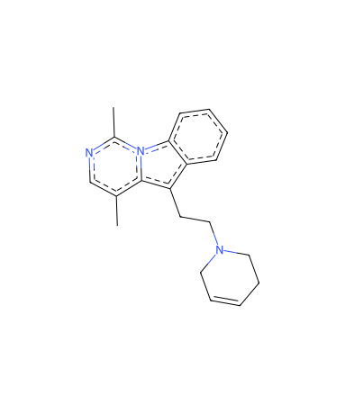 Cc1cnc(C)n2c1c(CCN1CC=CCC1)c1ccccc12